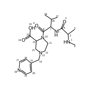 CNC(C)C(=O)NC(C(=O)N1CCN(Cc2ccncc2)CC1C(=O)O)C(C)C